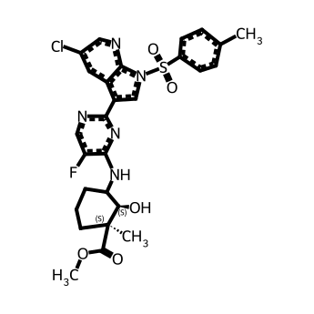 COC(=O)[C@@]1(C)CCCC(Nc2nc(-c3cn(S(=O)(=O)c4ccc(C)cc4)c4ncc(Cl)cc34)ncc2F)[C@H]1O